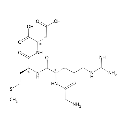 CSCC[C@H](NC(=O)[C@H](CCCNC(=N)N)NC(=O)CN)C(=O)N[C@@H](CC(=O)O)C(=O)O